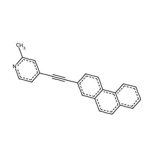 Cc1cc(C#Cc2ccc3c(ccc4ccccc43)c2)ccn1